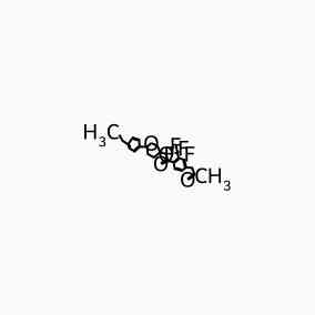 CCCc1ccc(C2CCC(OC(=O)c3ccc(CC(C)=O)c(F)c3C(F)(F)F)CO2)cc1